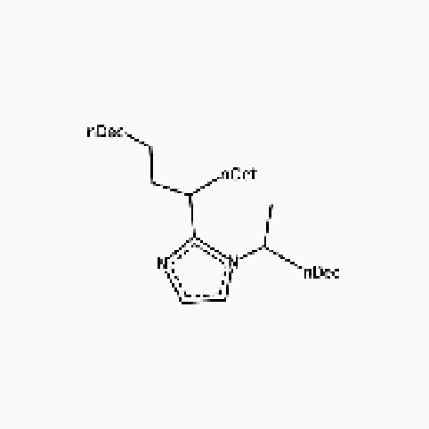 CCCCCCCCCCCCC(CCCCCCCC)c1nccn1C(C)CCCCCCCCCC